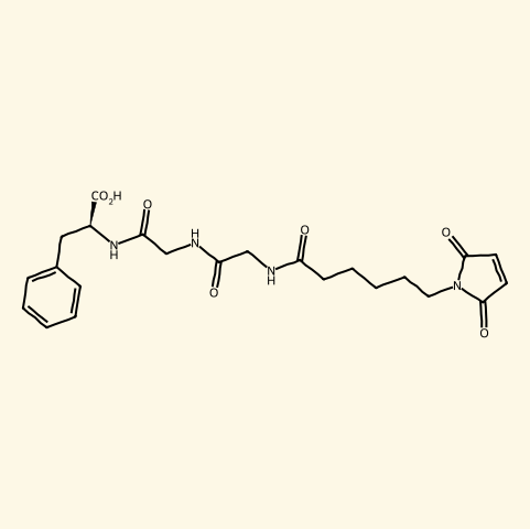 O=C(CCCCCN1C(=O)C=CC1=O)NCC(=O)NCC(=O)N[C@@H](Cc1ccccc1)C(=O)O